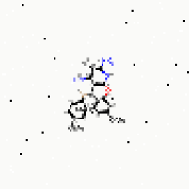 COc1ccc(SC2c3c(OC)cc(OC)cc3Oc3nc(N)c(C#N)c(N)c32)cc1